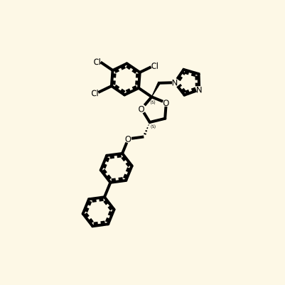 Clc1cc(Cl)c([C@]2(Cn3ccnc3)OC[C@H](COc3ccc(-c4ccccc4)cc3)O2)cc1Cl